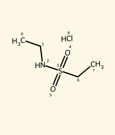 CCNS(=O)(=O)CC.Cl